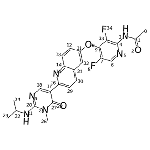 CC(=O)Nc1ncc(F)c(Oc2ccc3nc(-c4cnc(NC(C)C)n(C)c4=O)ccc3c2)c1F